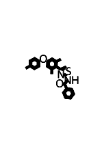 Cc1ccc(Oc2cc(C)c(-c3csc(NC(=O)c4ccccc4)n3)c(C)c2)cc1